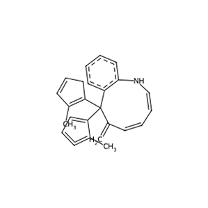 C=C1/C=C\C=C/Nc2ccccc2C1(C1=CC=C=C1C)C1=C(C)C=CC1